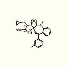 CCCC[C@H](O)[C@@H](CC1CC1)C(=O)C1(N)N=C(c2cc(C)ccn2)c2ccccc2N(C)C1=O